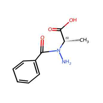 C[C@@H](C(=O)O)N(N)C(=O)c1ccccc1